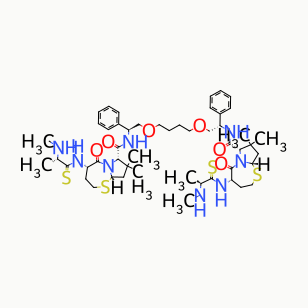 CN[C@@H](C)C(=S)N[C@H]1CCS[C@H]2CC(C)(C)[C@@H](C(=O)N[C@H](COCCCCOC[C@@H](NC(=O)[C@H]3N4C(=O)[C@@H](NC(=S)[C@H](C)NC)CCS[C@H]4CC3(C)C)c3ccccc3)c3ccccc3)N2C1=O